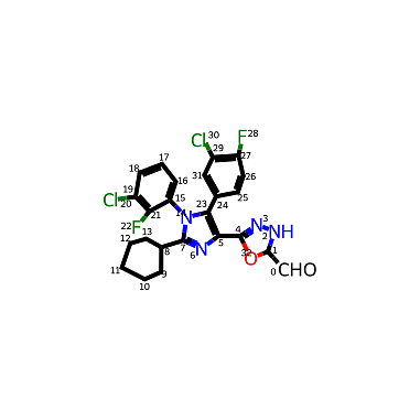 O=CC1NN=C(c2nc(C3CCCCC3)n(-c3cccc(Cl)c3F)c2-c2ccc(F)c(Cl)c2)O1